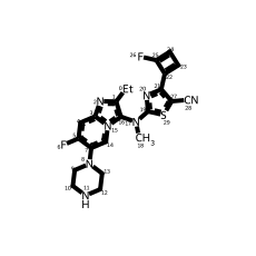 CCc1nc2cc(F)c(N3CCNCC3)cn2c1N(C)c1nc(C2=CC=C2F)c(C#N)s1